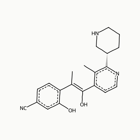 C/C(=C(/O)c1ccnc([C@H]2CCCNC2)c1C)c1ccc(C#N)cc1O